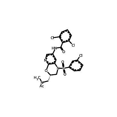 CC(=O)N(C)C[C@H]1CN(S(=O)(=O)c2cccc(Cl)c2)c2cc(NC(=O)c3c(Cl)cccc3Cl)cnc2O1